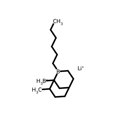 [BH3-]C12CC(CCB1CCCCCC)CCC2C.[Li+]